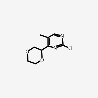 Cc1cnc(Cl)nc1C1COCCO1